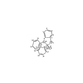 O=[SH](Oc1ccccc1)(Oc1ccccc1)c1ccccc1